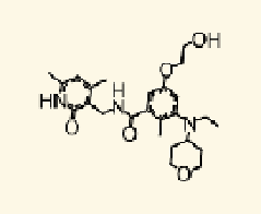 CCN(c1cc(OCCO)cc(C(=O)NCc2c(C)cc(C)[nH]c2=O)c1C)C1CCOCC1